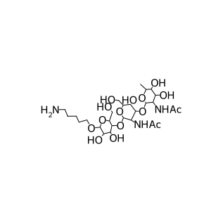 CC(=O)NC1C(OC2C(O)C(CO)OC(OC3C(CO)OC(OCCCCCN)C(O)C3O)C2NC(C)=O)OC(C)C(O)C1O